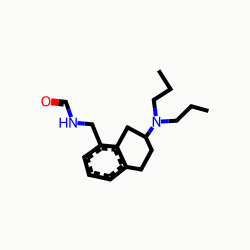 CCCN(CCC)C1CCc2cccc(CNC=O)c2C1